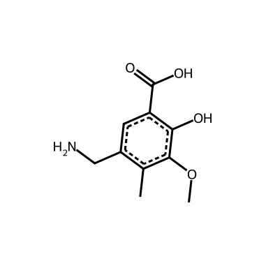 COc1c(C)c(CN)cc(C(=O)O)c1O